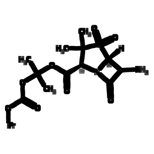 CC(C)OC(=O)OC(C)(C)OC(=O)[C@@H]1N2C(=O)C(N)[C@H]2S(=O)(=O)C1(C)C